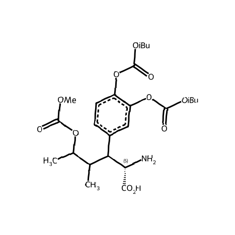 COC(=O)OC(C)C(C)C(c1ccc(OC(=O)OCC(C)C)c(OC(=O)OCC(C)C)c1)[C@H](N)C(=O)O